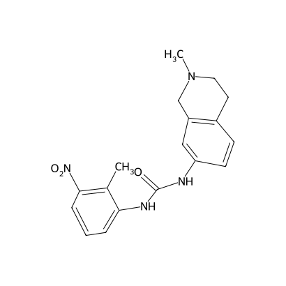 Cc1c(NC(=O)Nc2ccc3c(c2)CN(C)CC3)cccc1[N+](=O)[O-]